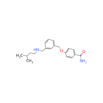 CC(C)CCNCc1cccc(COc2ccc(C(N)=O)cc2)c1